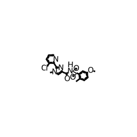 COc1ccc(C)c(S(=O)(=O)NC(=O)c2cn(C)c(-c3ncccc3Cl)n2)c1